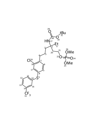 CCC(CCCc1ccc(Sc2cccc(C(F)(F)F)c2)cc1Cl)(CCOP(=O)(OC)OC)NC(=O)OC(C)(C)C